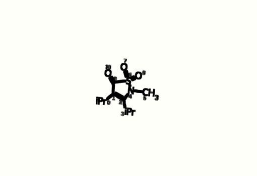 CC(C)C1=C(C(C)C)N(C)S(=O)(=O)C1=O